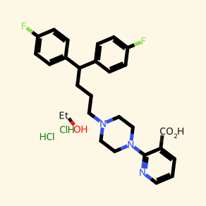 CCO.Cl.Cl.O=C(O)c1cccnc1N1CCN(CCCC(c2ccc(F)cc2)c2ccc(F)cc2)CC1